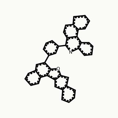 c1cc(-c2nc3ccccc3c3c2ccc2ccccc23)cc(-c2cc3ccccc3c3c2oc2cc4ccccc4cc23)c1